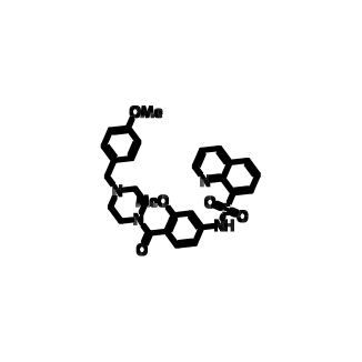 COc1ccc(CN2CCN(C(=O)c3ccc(NS(=O)(=O)c4cccc5cccnc45)cc3OC)CC2)cc1